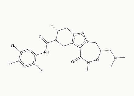 C[C@@H]1Cc2nn3c(c2CN1C(=O)Nc1cc(Cl)c(F)cc1F)C(=O)N(C)O[C@@H](CN(C)C)C3